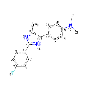 CCCc1nc(-c2ccc(F)cc2)[nH]c1-c1ccc(N(C)C)cc1